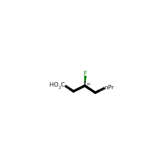 CCCC[C@H](F)CC(=O)O